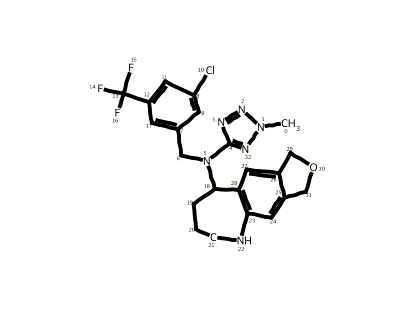 Cn1nnc(N(Cc2cc(Cl)cc(C(F)(F)F)c2)C2CCCNc3cc4c(cc32)COC4)n1